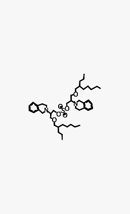 CCCCCC(CCC)COCC(COS(=O)(=O)OCC(COCC(CCC)CCCCC)N1CCc2ccccc2C1)N1CCc2ccccc2C1